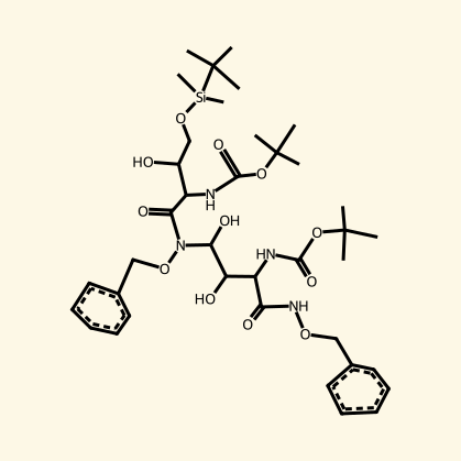 CC(C)(C)OC(=O)NC(C(=O)N(OCc1ccccc1)C(O)C(O)C(NC(=O)OC(C)(C)C)C(=O)NOCc1ccccc1)C(O)CO[Si](C)(C)C(C)(C)C